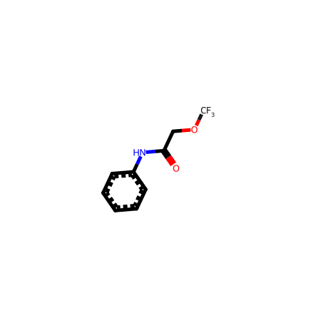 O=C(COC(F)(F)F)Nc1ccccc1